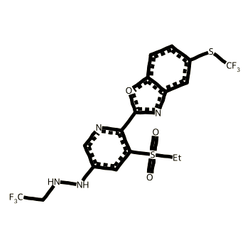 CCS(=O)(=O)c1cc(NNCC(F)(F)F)cnc1-c1nc2cc(SC(F)(F)F)ccc2o1